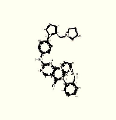 O=c1c2cnc(Nc3ccc(N4CCC[C@H]4CN4CCCC4)cc3)nc2n2ccnc2n1-c1ccccc1Cl